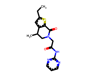 CCc1cc2c(s1)C(=O)N(CC(=O)Nc1ncccn1)CC2C